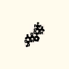 COC(=O)NC(C(=O)N1CCC[C@H]1C(=O)NC(C(=O)C(F)(F)F)C(C)C)C(C)C